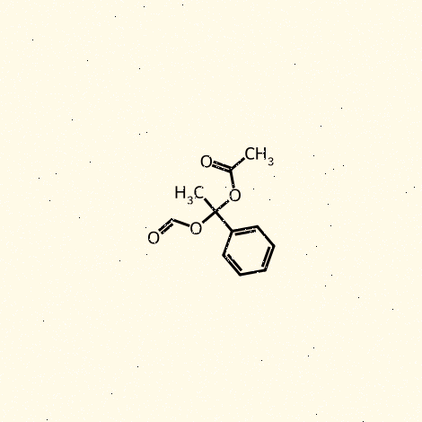 CC(=O)OC(C)(OC=O)c1ccccc1